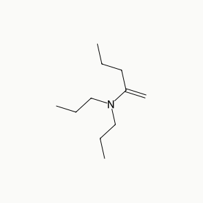 C=C(CCC)N(CCC)CCC